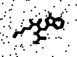 C=CCCCN(C)C(=O)C(Cc1c[nH]c2ccccc12)NC(=O)O